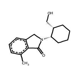 Cc1cccc2c1C(=O)N([C@H]1CCCC[C@H]1CO)C2